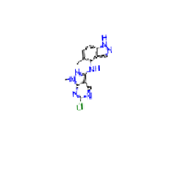 Cc1ccc2[nH]ncc2c1Nc1nn(C)c2nc(Cl)ncc12